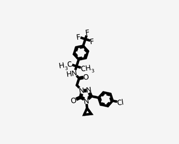 CC(C)(NC(=O)Cn1nc(-c2ccc(Cl)cc2)n(C2CC2)c1=O)c1ccc(C(F)(F)F)cc1